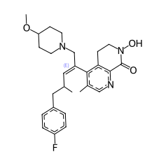 COC1CCN(C/C(=C/C(C)Cc2ccc(F)cc2)c2c(C)cnc3c2CCN(O)C3=O)CC1